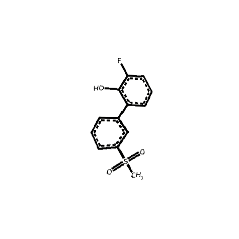 CS(=O)(=O)c1cccc(-c2cccc(F)c2O)c1